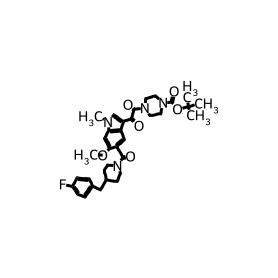 COc1cc2c(cc1C(=O)N1CCC(Cc3ccc(F)cc3)CC1)c(C(=O)C(=O)N1CCN(C(=O)OC(C)(C)C)CC1)cn2C